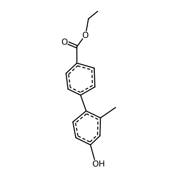 CCOC(=O)c1ccc(-c2ccc(O)cc2C)cc1